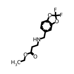 CCOC(=O)CCNCc1ccc2c(c1)OC(F)(F)O2